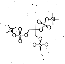 CC(COS(C)(=O)=O)(COS(=O)(=O)O[Si](C)(C)C)OS(=O)(=O)O[Si](C)(C)C